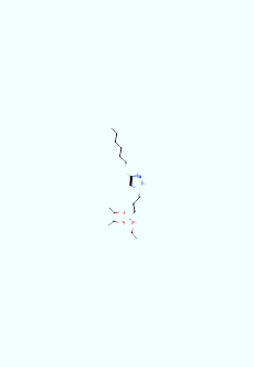 CCCCCCSc1cn(CCC[Si](OCC)(OCC)OCC)nn1